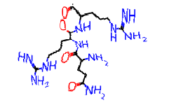 N=C(N)NCCCC([C]=O)NC(=O)C(CCCNC(=N)N)NC(=O)C(N)CCC(N)=O